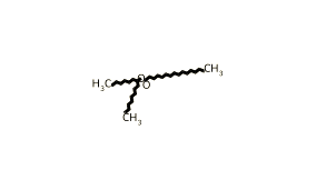 CCCCCCCCCCCCCCCC(=O)OC(CCCCCCC)CCCCCCCCC